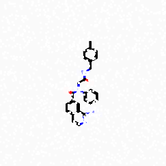 Cc1ccc(CNC(=O)CN(C(=O)c2ccc3ccnc(N)c3c2)c2ccccc2)cc1